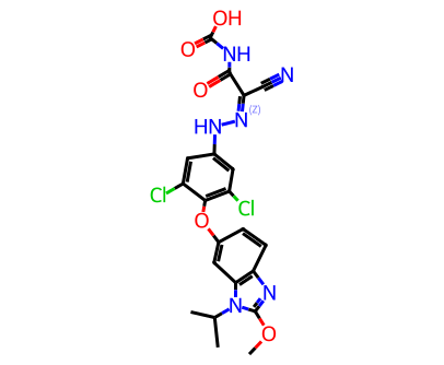 COc1nc2ccc(Oc3c(Cl)cc(N/N=C(/C#N)C(=O)NC(=O)O)cc3Cl)cc2n1C(C)C